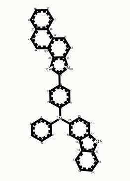 c1ccc(N(c2ccc(-c3nc4ccc5c6ccccc6ccc5c4s3)cc2)c2ccc3oc4ccccc4c3c2)cc1